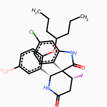 Bc1ccc(OC(CCC)CCC)c([C@H]2NC(=O)C[C@@H](I)[C@]23C(=O)Nc2cc(Cl)ccc23)c1